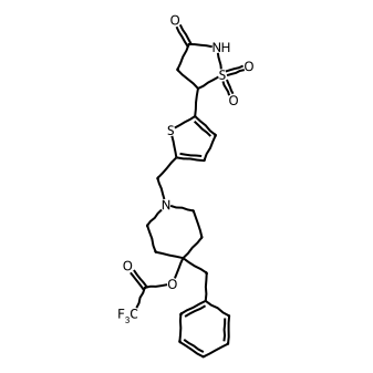 O=C1CC(c2ccc(CN3CCC(Cc4ccccc4)(OC(=O)C(F)(F)F)CC3)s2)S(=O)(=O)N1